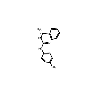 Cc1ccc(NC(=O)N[C@H](C)c2ccccc2)cc1